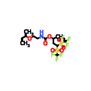 C=CC(=C)OCCNC(=O)OC(C)CC(S(=O)(=O)C(F)(F)F)S(=O)(=O)C(F)(F)F